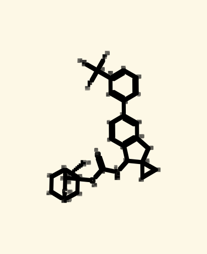 O=C(NC1c2ccc(-c3cccc(C(F)(F)F)c3)cc2CC12CC2)O[C@H]1CN2CCC1CC2